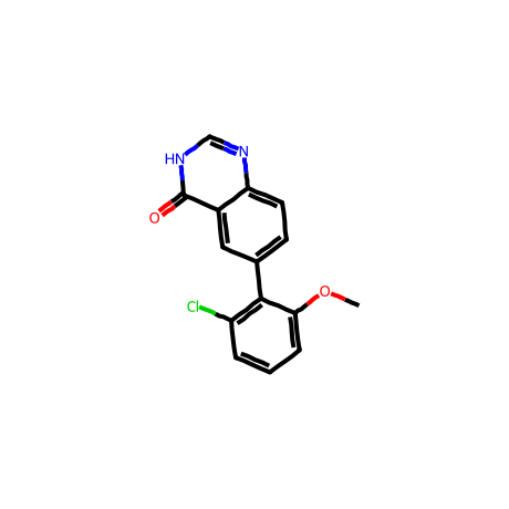 COc1cccc(Cl)c1-c1ccc2nc[nH]c(=O)c2c1